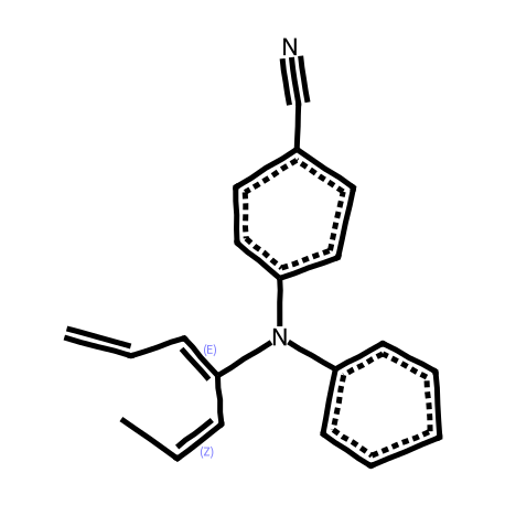 C=C/C=C(\C=C/C)N(c1ccccc1)c1ccc(C#N)cc1